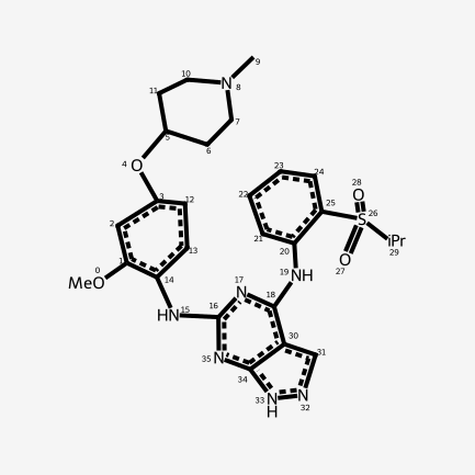 COc1cc(OC2CCN(C)CC2)ccc1Nc1nc(Nc2ccccc2S(=O)(=O)C(C)C)c2cn[nH]c2n1